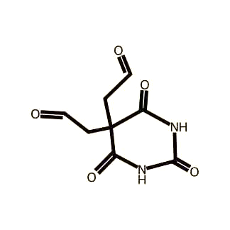 O=CCC1(CC=O)C(=O)NC(=O)NC1=O